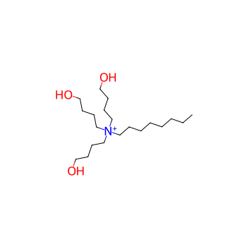 CCCCCCCC[N+](CCCCO)(CCCCO)CCCCO